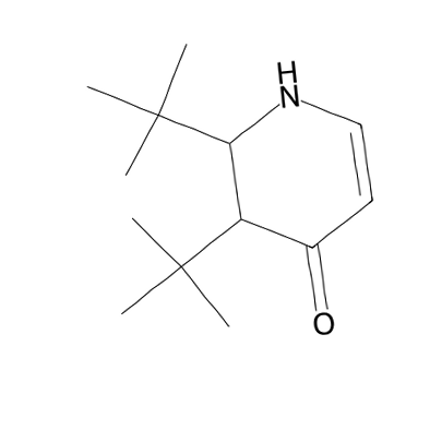 CC(C)(C)C1NC=CC(=O)C1C(C)(C)C